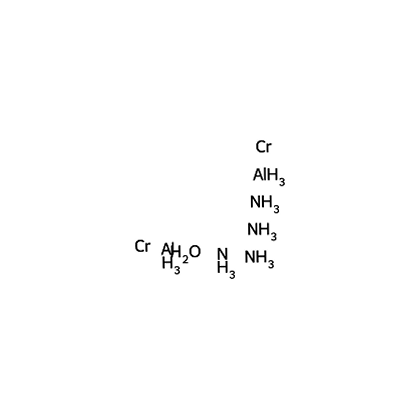 N.N.N.N.O.[AlH3].[AlH3].[Cr].[Cr]